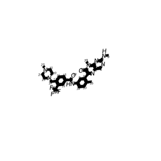 CNc1ncc2nc(-c3cc(NC(=O)c4ccc(CN5CCN(C)CC5)c(C(F)(F)F)c4)ccc3C)c(=O)n(C)c2n1